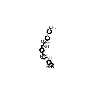 CN1CCC(N2CCC(NC(=O)c3cc4ccc(-c5nccc(Nc6ccc7[nH]ncc7c6)n5)cc4[nH]3)CC2)CC1